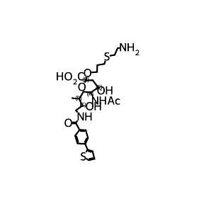 CC(=O)N[C@H]1C([C@H](C)[C@H](O)CNC(=O)c2ccc(-c3cccs3)cc2)O[C@@](OCCCSCCN)(C(=O)O)C[C@@H]1O